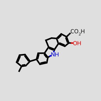 Cc1cccc(-c2ccc3[nH]c4c(c3c2)CCc2cc(C(=O)O)c(O)cc2-4)c1